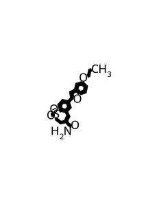 CCCOc1ccc2oc(-c3ccc4c(c3)C=C(C(N)=O)CCS4(=O)=O)cc2c1